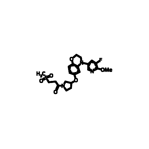 COc1ncc(N2CCOc3ccc(OC4CCN(C(=O)CCS(C)(=O)=O)C4)cc32)cc1F